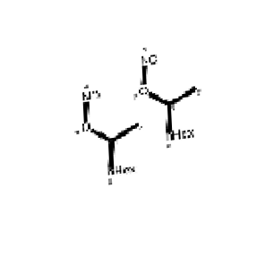 CCCCCCC(C)ON=O.CCCCCCC(C)ON=O